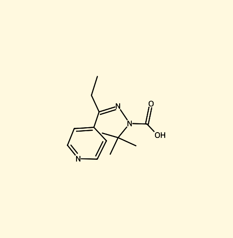 CC/C(=N/N(C(=O)O)C(C)(C)C)c1ccncc1